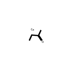 CCC(C)=O.[Ce]